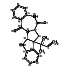 C=CC(C)(C)C12CC3C(=O)Nc4ccccc4C(=O)N3C1Nc1ccccc12